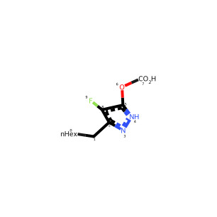 CCCCCCCc1n[nH]c(OC(=O)O)c1F